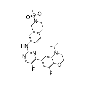 CC(C)N1CCOc2c(F)cc(-c3nc(Nc4ccc5c(c4)CN(S(C)(=O)=O)CC5)ncc3F)cc21